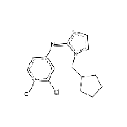 Clc1ccc(N=c2sccn2CC2CCCC2)cc1Cl